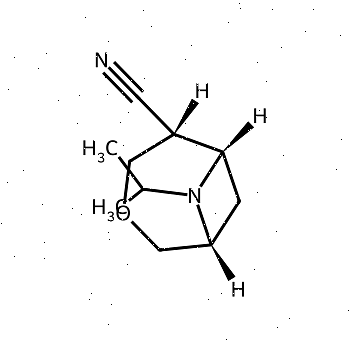 CC(C)N1[C@H]2COC[C@H](C#N)[C@@H]1C2